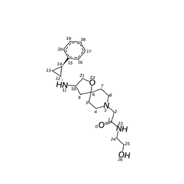 O=C(CN1CCC2(CC1)CC(N[C@@H]1C[C@H]1c1ccccc1)CO2)NCCO